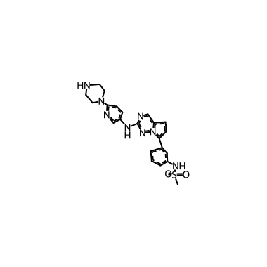 CS(=O)(=O)Nc1cccc(-c2ccc3cnc(Nc4ccc(N5CCNCC5)nc4)nn23)c1